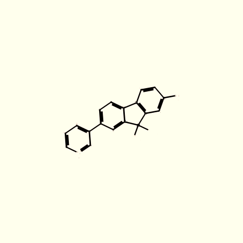 CC1(C)c2cc(Br)ccc2-c2ccc(-c3cccnc3)cc21